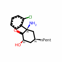 CCCCC[C@H]1C[C@@H](O)C(=O)[C@](N)(c2ccccc2Cl)C1